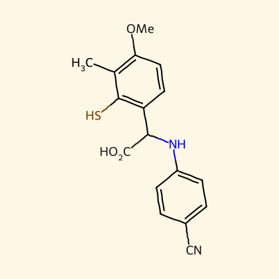 COc1ccc(C(Nc2ccc(C#N)cc2)C(=O)O)c(S)c1C